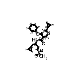 CS(=O)(=O)C=CC(CC1CC1)NC(=O)c1cnc(C2CC2)nc1Oc1ccccc1